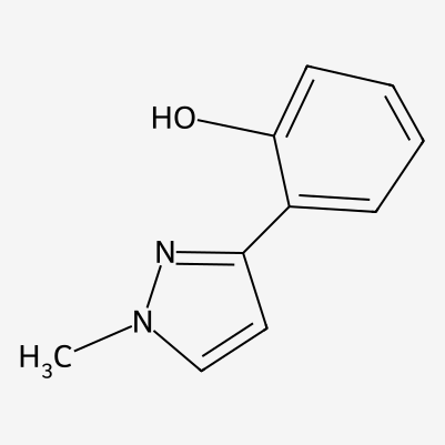 Cn1ccc(-c2ccccc2O)n1